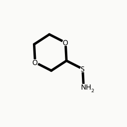 NSC1COCCO1